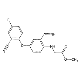 COC(=O)CNc1ccc(Oc2ccc(F)cc2C#N)cc1C=N